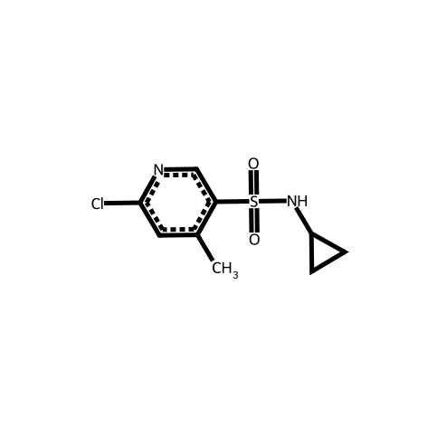 Cc1cc(Cl)ncc1S(=O)(=O)NC1CC1